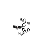 COc1ccc(C2(C#N)CCC(C(=O)O)CC2)cc1OC1CCCC1.O.O.O.O.[NaH]